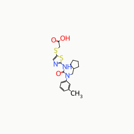 Cc1cccc(N(CC2CCCC2)C(=O)Nc2ncc(SCC(=O)O)s2)c1